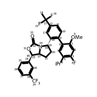 COc1cc(F)c(C(C)C)cc1-c1ccc(C(C)(F)F)cc1[C@@H]1CCC2[C@@H](c3cccc(C(F)(F)F)c3)OC(=O)N21